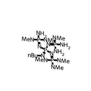 CCCCN=P(N=P(N)(N)NC)(N=P(N)(NC)NC)N=P(NC)(NC)NC